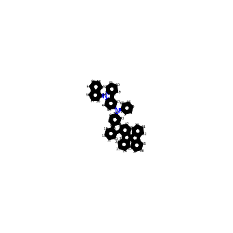 c1ccc(N(c2ccc(-c3ccccc3-c3cccc4c3-c3ccccc3C43c4ccccc4-c4ccccc43)cc2)c2ccc3c(c2)c2ccccc2n3-c2cccc3ccccc23)cc1